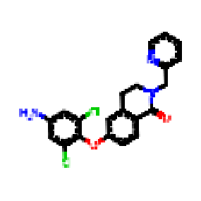 Nc1cc(Cl)c(Oc2ccc3c(c2)CCN(Cc2ccccn2)C3=O)c(Cl)c1